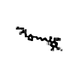 COc1cc(N)c(Cl)cc1C(=O)NCCCCCN1CC[C@@H](CNC(=O)OC(C)(C)C)C1